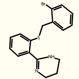 Brc1ccccc1CSc1ccccc1C1=NCCCN1